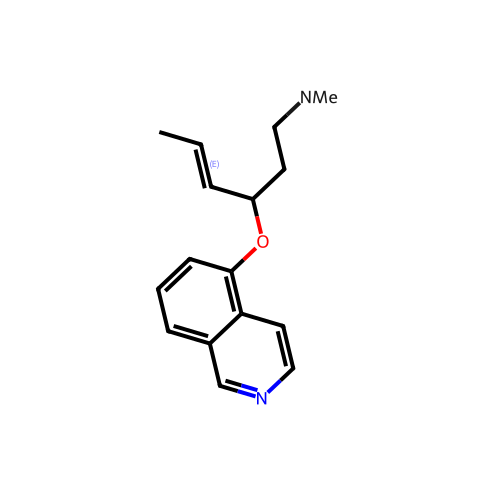 C/C=C/C(CCNC)Oc1cccc2cnccc12